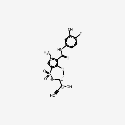 C#C[C@H](O)[C@H]1COc2c(cn(C)c2C(=O)Nc2ccc(F)c(C#N)c2)S(=O)(=O)N1